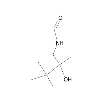 CC(C)(C)C(C)(O)CNC=O